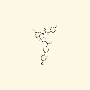 CN(C(=O)Oc1ccc(F)cc1)[C@@H]1CN(C(=O)C2CCN(c3ccc(Cl)cn3)CC2)C[C@@]1(C)c1ccc(Cl)cc1